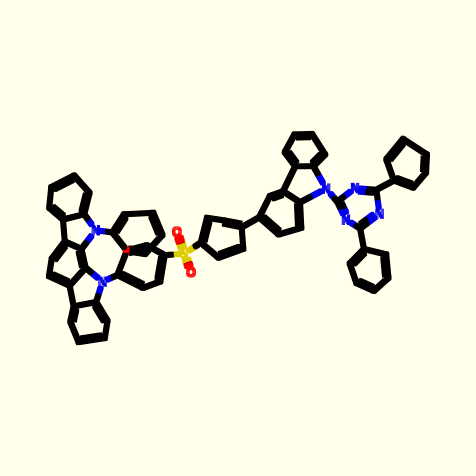 O=S(=O)(c1ccc(-c2ccc3c(c2)c2ccccc2n3-c2nc(-c3ccccc3)nc(-c3ccccc3)n2)cc1)c1ccc(-n2c3ccccc3c3ccc4c5ccccc5n(-c5ccccc5)c4c32)cc1